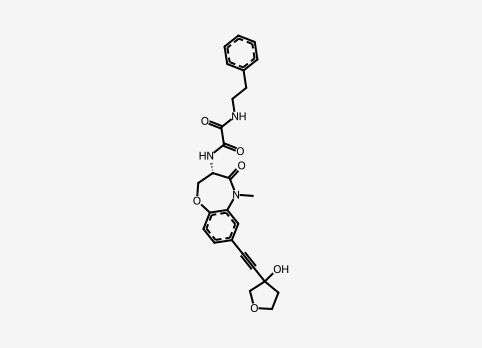 CN1C(=O)[C@@H](NC(=O)C(=O)NCCc2ccccc2)COc2ccc(C#CC3(O)CCOC3)cc21